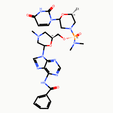 CC[C@@H]1CN([P@](=O)(OC[C@@H]2CN(C)CC(n3cnc4c(NC(=O)c5ccccc5)ncnc43)O2)N(C)C)CC(n2ccc(=O)[nH]c2=O)O1